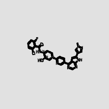 Cn1cc(-c2cc3c(-c4ccc(N5CC[C@H](NC(=O)c6c(F)cccc6Cl)[C@H](O)C5)nc4)ncnc3[nH]2)cn1